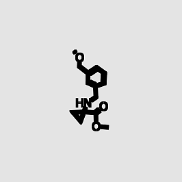 COCc1cccc(CNC2(C(=O)OC)CC2)c1